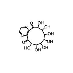 O=C1c2[c]ccnc2C(=O)C(O)C(O)C(O)C(O)C(O)C(O)C1O